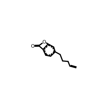 C=CCCCc1ccc2c(c1)OC2=O